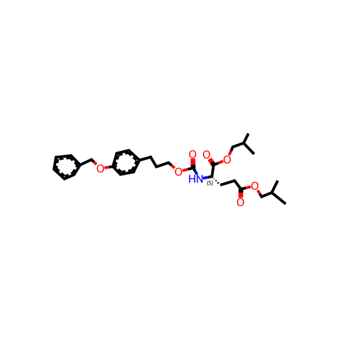 CC(C)COC(=O)CC[C@H](NC(=O)OCCCc1ccc(OCc2ccccc2)cc1)C(=O)OCC(C)C